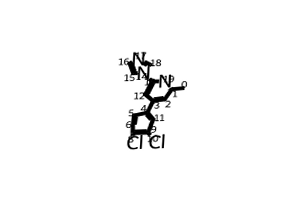 Cc1cc(-c2ccc(Cl)c(Cl)c2)cc(-n2ccnc2)n1